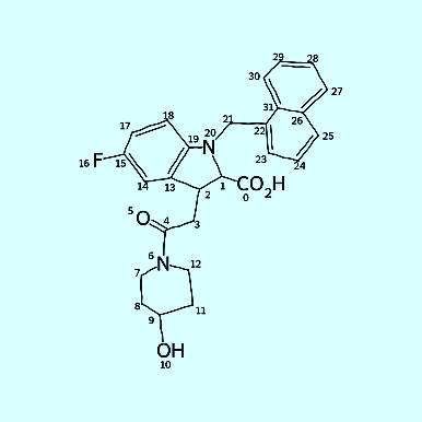 O=C(O)C1C(CC(=O)N2CCC(O)CC2)c2cc(F)ccc2N1Cc1cccc2ccccc12